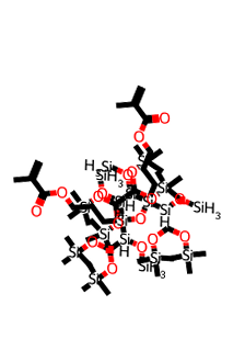 C=C(C)C(=O)OCCC[Si](O[Si](CCCOC(=O)C(=C)C)([SiH](O[SiH3])C(O[Si](C)(C)C)O[Si](C)(C)C)[SiH](O[SiH3])C(O[Si](C)(C)C)O[Si](C)(C)C)([SiH](O[SiH3])C(O[Si](C)(C)C)O[Si](C)(C)C)[SiH](O[SiH3])C(O[Si](C)(C)C)O[Si](C)(C)C